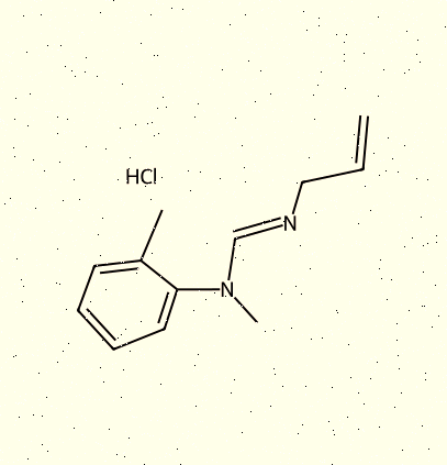 C=CCN=CN(C)c1ccccc1C.Cl